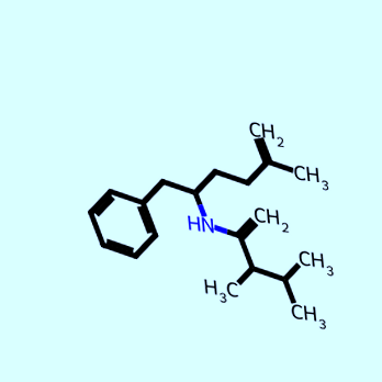 C=C(C)CCC(Cc1ccccc1)NC(=C)C(C)C(C)C